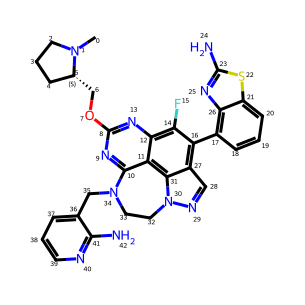 CN1CCC[C@H]1COc1nc2c3c(n1)c(F)c(-c1cccc4sc(N)nc14)c1cnn(c13)CCN2Cc1cccnc1N